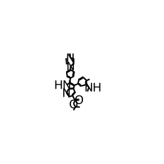 CNc1cc(-c2c(-c3ccc(N4CCN(C)CC4)cc3)[nH]c3ncc(C(=O)OC(C)C)cc23)ccc1C